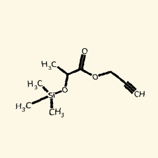 C#CCOC(=O)C(C)O[Si](C)(C)C